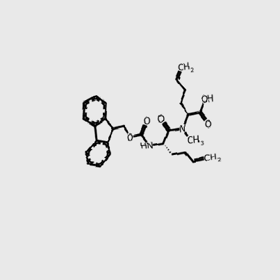 C=CCC[C@H](NC(=O)OCC1c2ccccc2-c2ccccc21)C(=O)N(C)[C@@H](CCC=C)C(=O)O